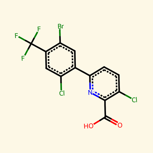 O=C(O)c1nc(-c2cc(Br)c(C(F)(F)F)cc2Cl)ccc1Cl